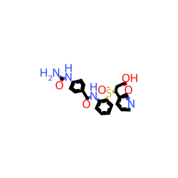 NC(=O)Nc1ccc(C(=O)Nc2ccccc2[S+]([O-])C(CC(=O)O)c2cccnc2)cc1